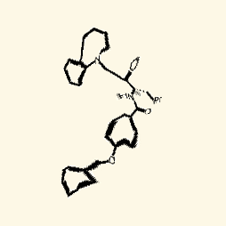 CC(C)C[C@H](NC(=O)c1ccc(OCc2ccccc2)cc1)C(=O)CN1CCCCc2ccccc21